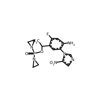 CC(OP(=O)(N1CC1)N1CC1)c1cc(-n2cncc2[N+](=O)[O-])c(N)cc1F